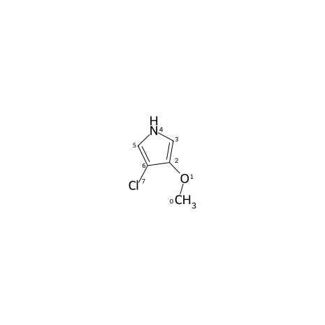 COc1c[nH]cc1Cl